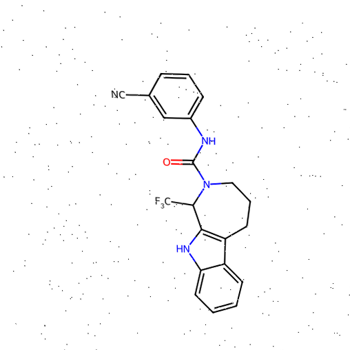 N#Cc1cccc(NC(=O)N2CCCc3c([nH]c4ccccc34)C2C(F)(F)F)c1